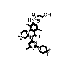 Cc1cc(NC(=O)c2c(F)cc(NS(=O)(=O)CCO)c(F)c2N2CC[Si](C)(C)CC2)nc(N2CCC(F)(F)CC2)n1